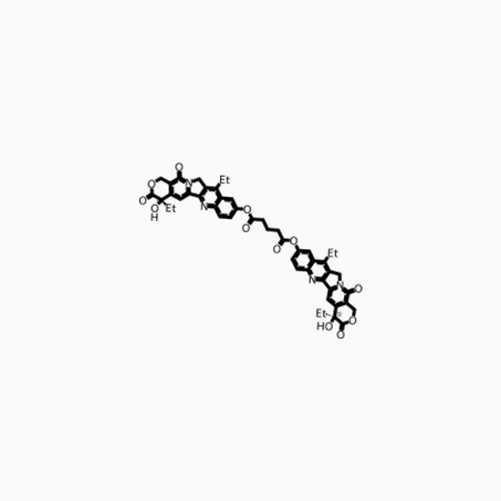 CCc1c2c(nc3ccc(OC(=O)CCCC(=O)Oc4ccc5nc6c(c(CC)c5c4)Cn4c-6cc5c(c4=O)COC(=O)[C@]5(O)CC)cc13)-c1cc3c(c(=O)n1C2)COC(=O)[C@]3(O)CC